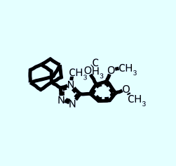 COc1ccc(-c2nnc(C34CC5CC(CC(C5)C3)C4)n2C)c(OC)c1OC